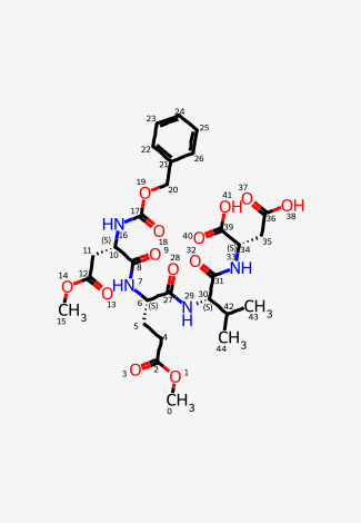 COC(=O)CC[C@H](NC(=O)[C@H](CC(=O)OC)NC(=O)OCc1ccccc1)C(=O)N[C@H](C(=O)N[C@@H](CC(=O)O)C(=O)O)C(C)C